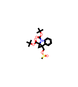 CS(=O)OCC1(c2ccccc2)CC1(NC(=O)OC(C)(C)C)C(=O)OC(C)(C)C